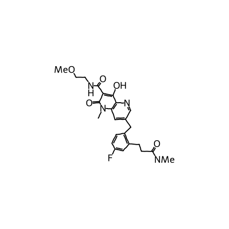 CNC(=O)CCc1cc(F)ccc1Cc1cnc2c(O)c(C(=O)NCCOC)c(=O)n(C)c2c1